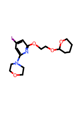 Ic1cc(OCCOC2CCCCO2)nc(N2CCOCC2)c1